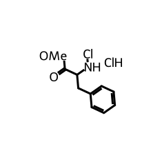 COC(=O)C(Cc1ccccc1)NCl.Cl